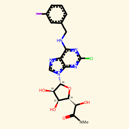 CNC(=O)C(O)[C@H]1O[C@@H](n2cnc3c(NCc4cccc(I)c4)nc(Cl)nc32)[C@H](O)[C@@H]1O